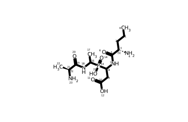 CCC[C@H](N)C(=O)NC(CC(=O)O)P(=O)(O)C(C)NC(=O)[C@H](C)N